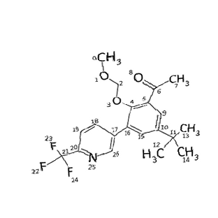 COCOc1c(C(C)=O)cc(C(C)(C)C)cc1-c1ccc(C(F)(F)F)nc1